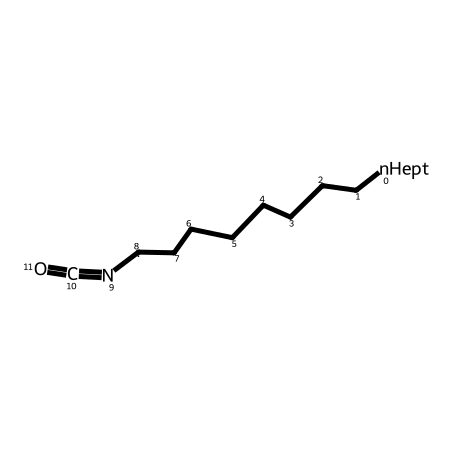 CCCCCCCCCCCCCC[CH]N=C=O